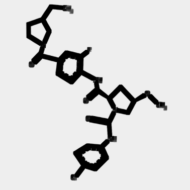 CCC1CCN(C(=O)c2ccc(NC(=O)[C@H]3C[C@@H](OC)CN3C(=O)Nc3ccc(Cl)cc3)c(F)c2)C1